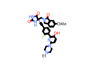 CCN1CCN(c2ccc(O)c(-c3ccc(C#C[C@]4(CN5Cc6ccc(OC)cc6C5=O)NC(=O)NC4=O)cc3F)n2)CC1